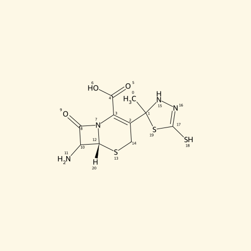 CC1(C2=C(C(=O)O)N3C(=O)C(N)[C@H]3SC2)NN=C(S)S1